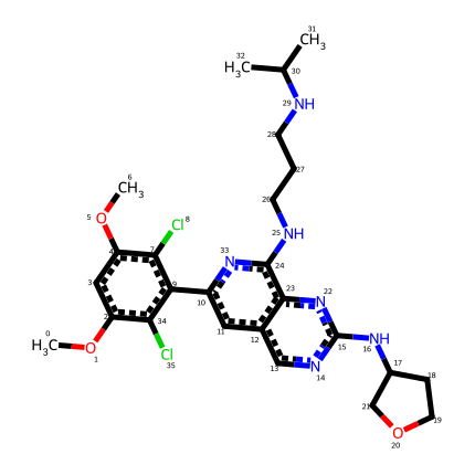 COc1cc(OC)c(Cl)c(-c2cc3cnc(NC4CCOC4)nc3c(NCCCNC(C)C)n2)c1Cl